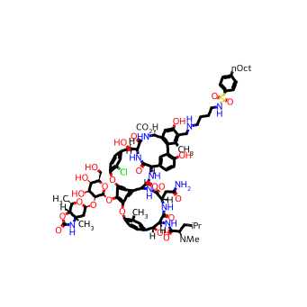 CCCCCCCCc1ccc(S(=O)(=O)NCCCCNCc2c(O)cc3c(c2C)-c2cc(ccc2O)[C@H]2NC(=O)[C@@H]4NC(=O)[C@H](CC(N)=O)NC(=O)[C@H](NC(=O)[C@@H](CC(C)C)NC)[C@H](O)c5ccc(c(C)c5)Oc5cc4cc(c5O[C@@H]4O[C@H](CO)[C@@H](O)[C@H](O)[C@H]4O[C@H]4C[C@]5(C)NC(=O)O[C@@H]5[C@H](C)O4)Oc4ccc(cc4Cl)[C@@H](O)[C@H](NC2=O)C(=O)N[C@@H]3C(=O)O)cc1